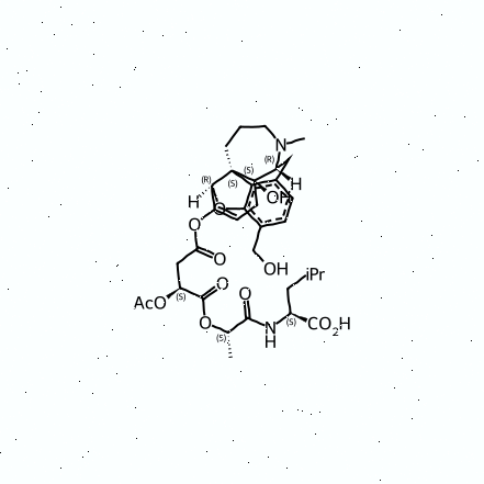 CC(=O)O[C@@H](CC(=O)OC1=CC[C@@]2(O)[C@H]3Cc4ccc(CO)c5c4[C@@]2(CCCN3C)[C@H]1O5)C(=O)O[C@@H](C)C(=O)N[C@@H](CC(C)C)C(=O)O